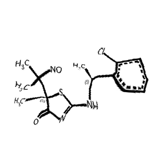 C[C@H](NC1=NC(=O)[C@](C)(C(C)(C)N=O)S1)c1ccccc1Cl